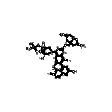 C=C1CN2CC(=C)CC2(COc2nc(N3C[C@@H]4C[C@H](C3)[C@H](O[Si](C)(C)C(C)(C)C)C4)c3cc(F)c(-c4cc(O)cc5ccc(F)c(CC)c45)c(F)c3n2)C1